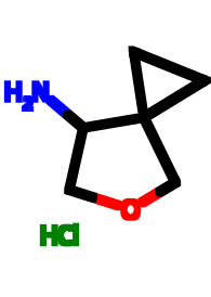 Cl.NC1COCC12CC2